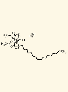 CCCCCCCC/C=C\CCCCCCCC(=O)NC(OCC)(C(=O)[O-])C(OCC)(C(=O)[O-])S(=O)(=O)O.[Na+].[Na+]